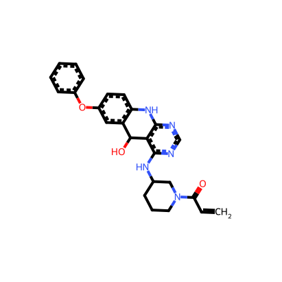 C=CC(=O)N1CCCC(Nc2ncnc3c2C(O)c2cc(Oc4ccccc4)ccc2N3)C1